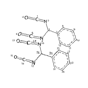 O=C=NC(N=C=O)c1ccccc1.O=C=NC(N=C=O)c1ccccc1